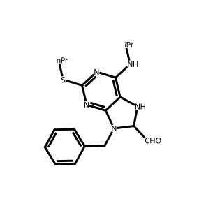 CCCSc1nc(NC(C)C)c2c(n1)N(Cc1ccccc1)C(C=O)N2